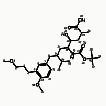 COCCCc1cc(CC(CC(NC(=O)OC(C)(C)C)C(O)CC(C)C(=O)O)C(C)C)ccc1OC